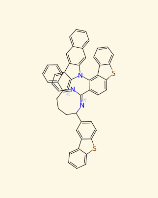 c1ccc(/C2=N/C(c3ccc4sc5ccccc5c4c3-n3c4ccccc4c4cc5ccccc5cc43)=N\C(c3ccc4sc5ccccc5c4c3)CCC2)cc1